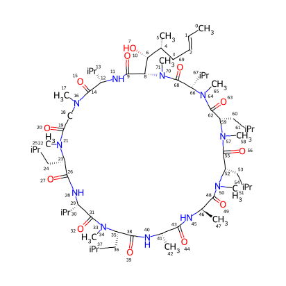 C/C=C/C[C@@H](C)[C@@H](O)[C@H]1C(=O)N[C@@H](C(C)C)C(=O)N(C)CC(=O)N(C)[C@@H](CC(C)C)C(=O)N[C@@H](C(C)C)C(=O)N(C)[C@@H](CC(C)C)C(=O)N[C@@H](C)C(=O)N[C@H](C)C(=O)N(C)[C@@H](CC(C)C)C(=O)N(C)[C@@H](CC(C)C)C(=O)N(C)[C@@H](C(C)C)C(=O)N1C